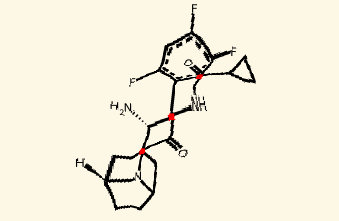 N[C@H](Cc1cc(F)c(F)cc1F)C1CC2CC[C@H](C1)N2CC(=O)CNC(=O)C1CC1